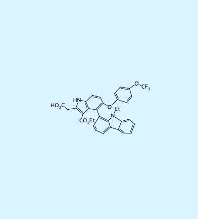 CCOC(=O)c1c(CC(=O)O)[nH]c2ccc(Oc3ccc(OC(F)(F)F)cc3)c(-c3cccc4c5ccccc5n(CC)c34)c12